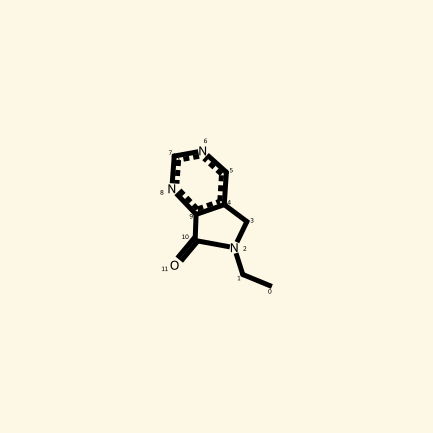 CCN1Cc2cncnc2C1=O